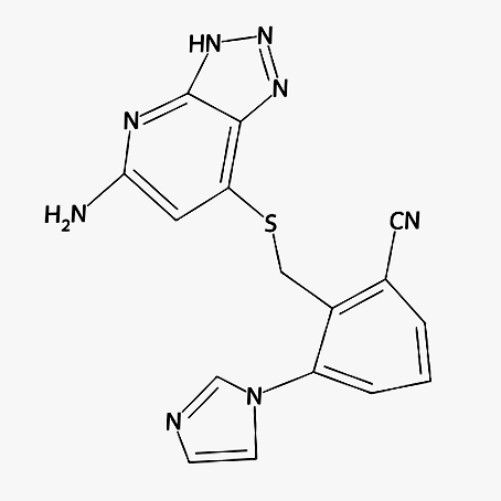 N#Cc1cccc(-n2ccnc2)c1CSc1cc(N)nc2[nH]nnc12